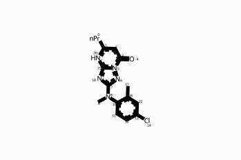 CCCc1cc(=O)n2nc(N(C)c3ccc(Cl)cc3C)nc2[nH]1